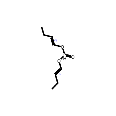 CC/C=C/O[PH](=O)O/C=C/CC